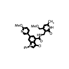 COCc1cc(C)[nH]c(=O)c1CNC(=O)c1cc(-c2ccc(OC)nc2)cc2c1c(Cl)cn2C(C)C